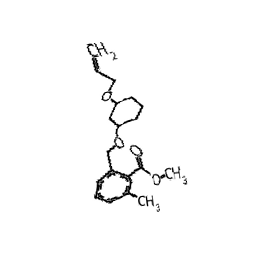 C=CCOC1CCCC(OCc2cccc(C)c2C(=O)OC)C1